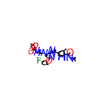 Cc1ccc(F)cc1Oc1cc(NCC2CN(C(=O)OC(C)(C)C)C2)c2ncc(-c3ccc(C(=O)NC4CC4)c(C)c3)n2n1